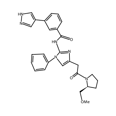 COC[C@@H]1CCCN1C(=O)Cc1cn(-c2ccccc2)c(NC(=O)c2cccc(-c3cn[nH]c3)c2)n1